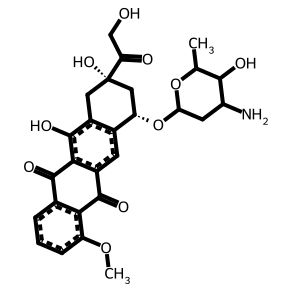 COc1cccc2c1C(=O)c1cc3c(c(O)c1C2=O)C[C@@](O)(C(=O)CO)C[C@@H]3OC1CC(N)C(O)C(C)O1